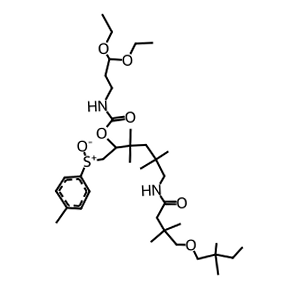 CCOC(CCNC(=O)OC(C[S+]([O-])c1ccc(C)cc1)C(C)(C)CC(C)(C)CNC(=O)CC(C)(C)COCC(C)(C)CC)OCC